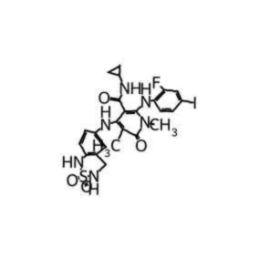 Cc1c(Nc2ccc3c(c2)CNS(=O)(=O)N3)c(C(=O)NC2CC2)c(Nc2ccc(I)cc2F)n(C)c1=O